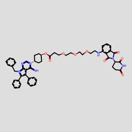 N=c1c2c(-c3ccccc3)c(-c3ccccc3)n(Cc3ccccc3)c2ncn1[C@H]1CC[C@H](OC(=O)CCOCCOCCOCCNc2cccc3c2C(=O)N(C2CCC(=O)NC2=O)C3=O)CC1